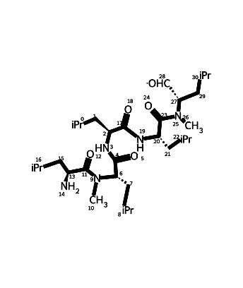 CC(C)C[C@H](NC(=O)[C@H](CC(C)C)N(C)C(=O)[C@@H](N)CC(C)C)C(=O)N[C@@H](CC(C)C)C(=O)N(C)[C@H]([C]=O)CC(C)C